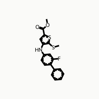 COC(=O)c1cc(Nc2ccc(-c3ccccc3)c(F)c2)c(SC)s1